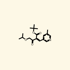 Cc1cncc(C=C(C(=O)COC(C)C)C(=O)OC(C)(C)C)c1